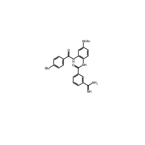 CC(=O)Nc1ccc(NC(=O)c2cccc(C(=N)N)c2)c(NC(=O)c2ccc(C(C)(C)C)cc2)c1